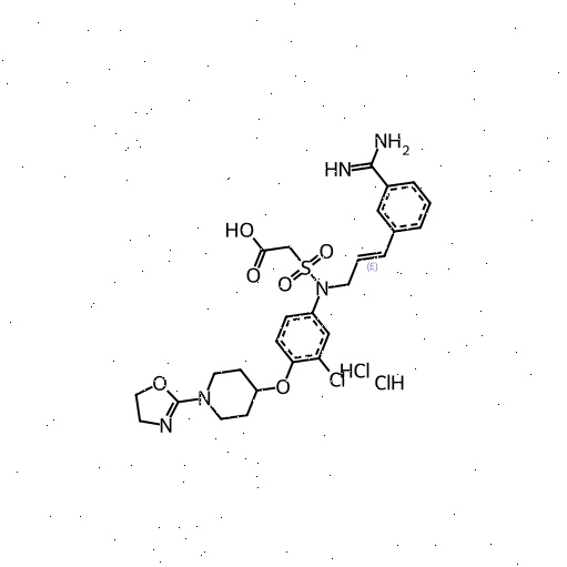 Cl.Cl.N=C(N)c1cccc(/C=C/CN(c2ccc(OC3CCN(C4=NCCO4)CC3)c(Cl)c2)S(=O)(=O)CC(=O)O)c1